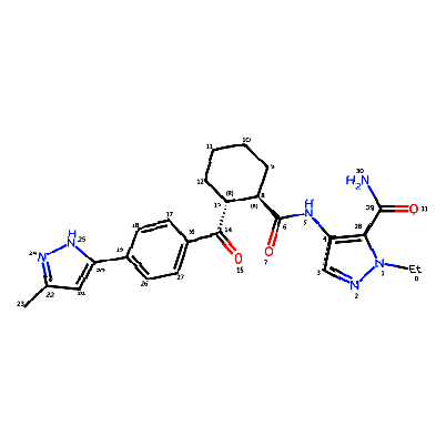 CCn1ncc(NC(=O)[C@@H]2CCCC[C@H]2C(=O)c2ccc(-c3cc(C)n[nH]3)cc2)c1C(N)=O